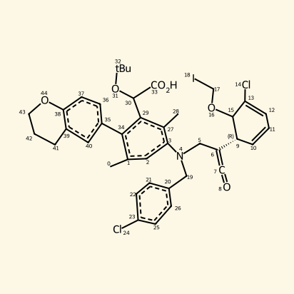 Cc1cc(N(CC(=C=O)[C@H]2C=CC=C(Cl)C2OCI)Cc2ccc(Cl)cc2)c(C)c(C(OC(C)(C)C)C(=O)O)c1-c1ccc2c(c1)CCCO2